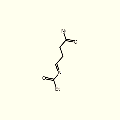 CCC(=O)N=CCCC([N])=O